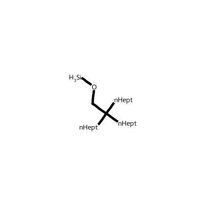 CCCCCCCC(CCCCCCC)(CCCCCCC)CO[SiH3]